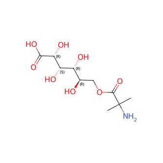 CC(C)(N)C(=O)OC[C@@H](O)[C@@H](O)[C@H](O)[C@@H](O)C(=O)O